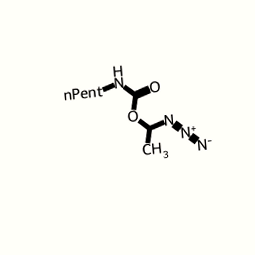 CCCCCNC(=O)OC(C)N=[N+]=[N-]